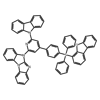 c1ccc(S(c2ccccc2)(c2ccc(-c3cc(-n4c5ccccc5c5ccccc54)nc(-n4c5ccccc5n5c6ccccc6nc45)c3)cc2)c2cccc3c2oc2ccccc23)cc1